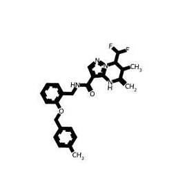 C=C1Nc2c(C(=O)NCc3ccccc3OCc3ccc(C)cc3)cnn2C(C(F)F)C1C